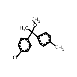 COC(C)(c1ccc(C)cc1)c1ccc(Cl)cc1